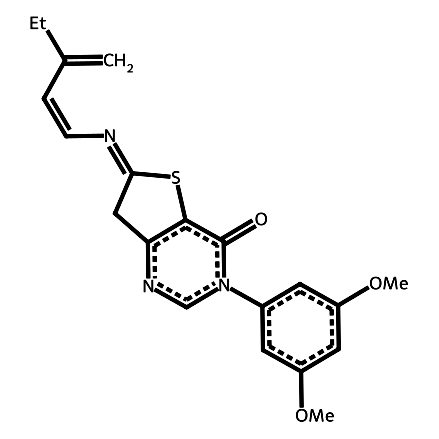 C=C(/C=C\N=C1/Cc2ncn(-c3cc(OC)cc(OC)c3)c(=O)c2S1)CC